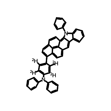 [2H]c1c([2H])c(N(c2ccccc2)c2ccccc2)c([2H])c([2H])c1-c1ccc2ccc3c4c(ccc1c24)cc1c2ccccc2n(-c2ccccc2)c13